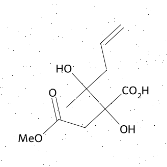 C=CCC(C)(O)C(O)(CC(=O)OC)C(=O)O